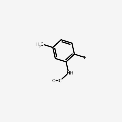 Cc1ccc(F)c(NC=O)c1